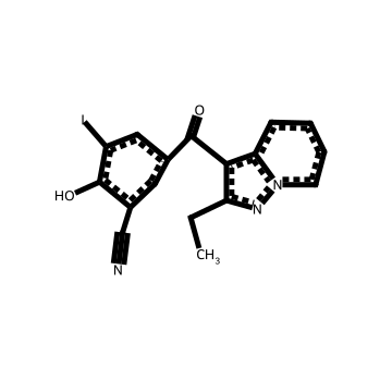 CCc1nn2ccccc2c1C(=O)c1cc(I)c(O)c(C#N)c1